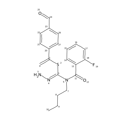 C=C(S/C(=N\N)N(CCCC)C(=O)c1ccccc1F)c1ccc(C=O)cc1